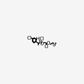 CC(=NOCC(=O)OCCN(C)C)c1ccc(Cl)cc1.Cl